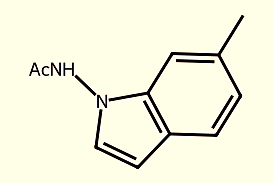 CC(=O)Nn1ccc2ccc(C)cc21